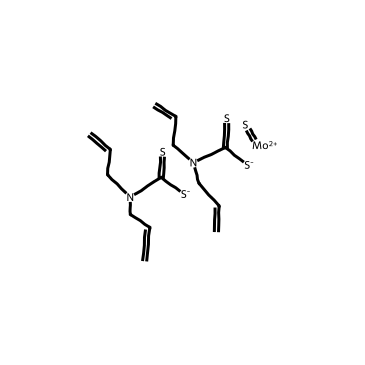 C=CCN(CC=C)C(=S)[S-].C=CCN(CC=C)C(=S)[S-].[S]=[Mo+2]